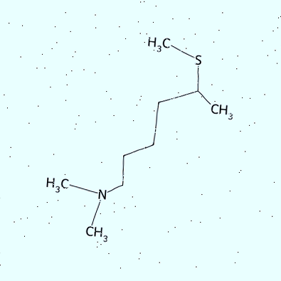 CSC(C)CCCCN(C)C